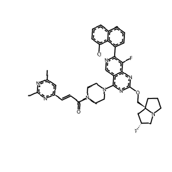 Cc1cc(/C=C/C(=O)N2CCN(c3nc(OC[C@@]45CCCN4C[C@H](F)C5)nc4c(F)c(-c5cccc6cccc(Cl)c56)ncc34)CC2)nc(C)n1